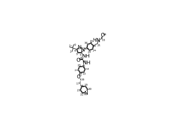 CC(C)(C)c1cc(NC(=O)Nc2ccc(OCCc3ccncc3)cc2)n(-c2ccc(CNC=O)cc2)n1